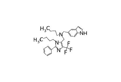 CCCCN(Cc1ccc2[nH]ccc2c1)Cc1c(C(F)(F)F)nc(-c2ccccc2)n1CCCC